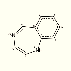 C1=CNc2ccccc2C=[N+]1